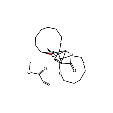 C=CC(=O)OC.O=C1OC23C4(CCCCCCCCC4)C1=C(C21CCCCCCCCC1)C31CCCCCCCCC1